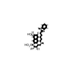 CC[C@@H](CCN(C)CCCCCc1nc2ccccc2n1C)[C@H](C(C)C)N(C(=O)O)c1ccc2cc(F)ccc2c1.Cl.Cl